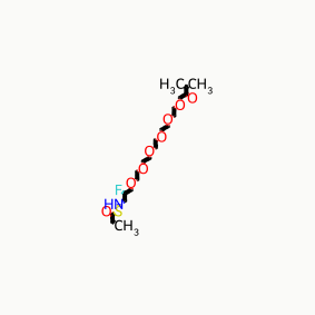 CCC(=O)SNCC(F)COCCOCCOCCOCCOCCOCC(=O)C(C)C